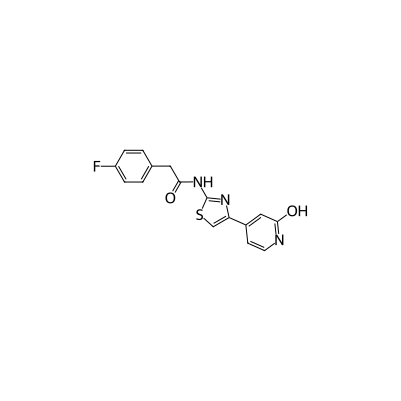 O=C(Cc1ccc(F)cc1)Nc1nc(-c2ccnc(O)c2)cs1